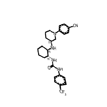 N#Cc1ccc(N2CCC[C@H](N[C@@H]3CCCC[C@H]3NC(=O)Nc3ccc(C(F)(F)F)cc3)C2)cc1